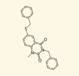 Cn1c(=O)n(Cc2ccccc2)c(=O)c2cc(SCc3ccccc3)ccc21